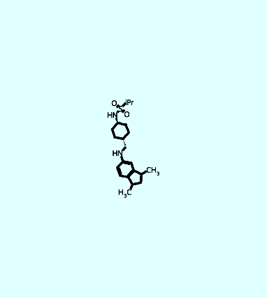 CC1CC(C)c2cc(NC[C@H]3CC[C@H](NS(=O)(=O)C(C)C)CC3)ccc21